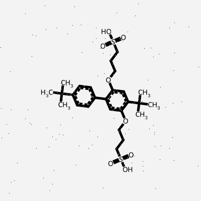 CC(C)(C)c1ccc(-c2cc(OCCCS(=O)(=O)O)c(C(C)(C)C)cc2OCCCS(=O)(=O)O)cc1